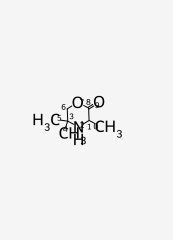 CC1NC(C)(C)COC1=O